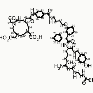 CCC(=O)NCCNC(=O)/N=C(/N)NCCC[C@@H](NC(=O)[C@H](c1ccccc1)c1cccc(OCCCCNC(=O)c2ccc(NC(=O)CN3CCN(CC(=O)O)CCN(CC(=O)O)CCN(CC(=O)O)CC3)cc2)c1)C(=O)NCc1ccc(O)cc1